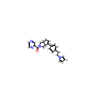 O=C(c1cnccn1)N1CC2CC=C(c3ccc(CCn4cccc4)cc3)C2C1